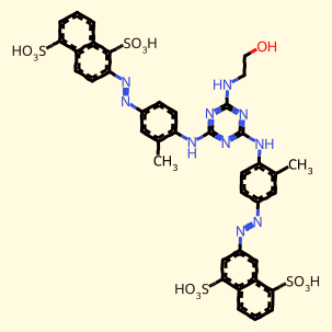 Cc1cc(N=Nc2cc(S(=O)(=O)O)c3cccc(S(=O)(=O)O)c3c2)ccc1Nc1nc(NCCO)nc(Nc2ccc(N=Nc3ccc4c(S(=O)(=O)O)cccc4c3S(=O)(=O)O)cc2C)n1